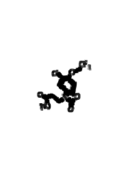 O=C(CCn1c(=O)oc2cc(OCC(F)(F)F)c(Cl)cc21)OF